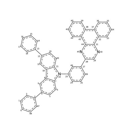 c1ccc(-c2ccc3c(c2)c2cc(-c4ccccc4)ccc2n3-c2cccc(-c3cnc4c5ccccc5c5ccccc5c4n3)c2)cc1